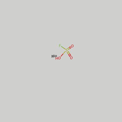 O=S(=O)(O)F.[Mo]